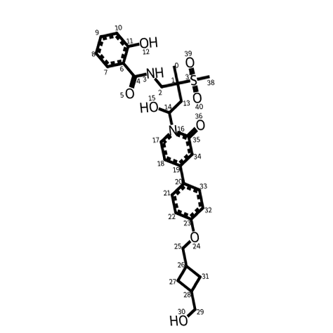 CC(CNC(=O)c1ccccc1O)(CC(O)n1ccc(-c2ccc(OCC3CC(CO)C3)cc2)cc1=O)S(C)(=O)=O